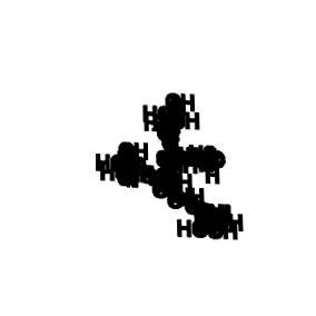 COC(CO)C(O)C(O)C(NC(C)=O)OCCOCCNC(=O)C(CCC(=O)NC(CCC(=O)NCCOCCOC1OC(CO)C(O)C(O)C1NC(C)=O)C(=O)NCCOCCOC1OC(CO)C(O)C(O)C1NC(C)=O)NC(=O)CCC(C)(C)OCC(C)(C)O[PH](=O)S